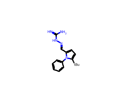 CC(C)(C)c1ccc(C=NNC(=N)N)n1-c1ccccc1